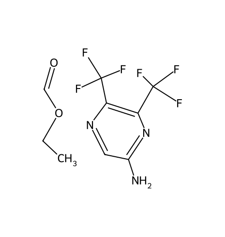 CCOC=O.Nc1cnc(C(F)(F)F)c(C(F)(F)F)n1